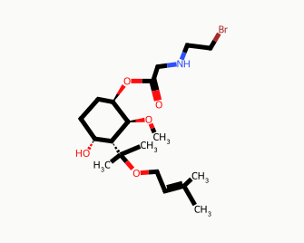 CO[C@H]1[C@H](C(C)(C)OCC=C(C)C)[C@H](O)CC[C@H]1OC(=O)CNCCBr